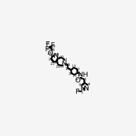 O=C(Cc1cnn(CF)c1)NC1CCC(CCN2CCc3ccc(OCC(F)(F)F)nc3CC2)CC1